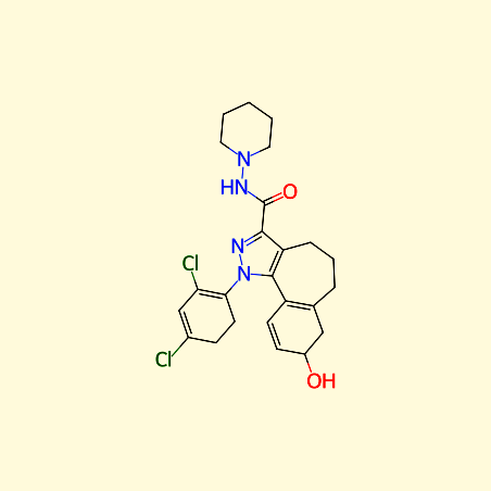 O=C(NN1CCCCC1)c1nn(C2=C(Cl)C=C(Cl)CC2)c2c1CCCC1=C2C=CC(O)C1